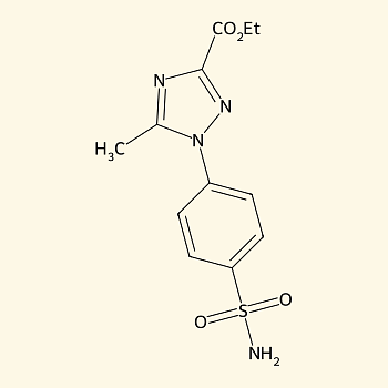 CCOC(=O)c1nc(C)n(-c2ccc(S(N)(=O)=O)cc2)n1